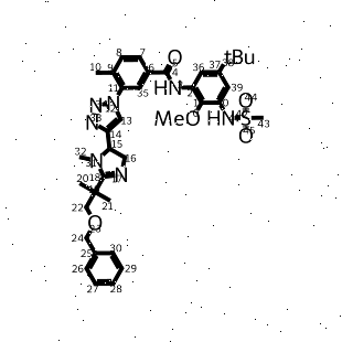 COc1c(NC(=O)c2ccc(C)c(-n3cc(C4CN=C(C(C)(C)COCc5ccccc5)N4C)nn3)c2)cc(C(C)(C)C)cc1NS(C)(=O)=O